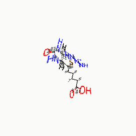 N=[N+]=N.O=C(O)CCCC[C@@H]1SC[C@@H]2NC(=O)N[C@@H]21